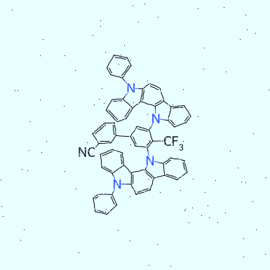 N#Cc1cccc(-c2cc(-n3c4ccccc4c4ccc5c(c6ccccc6n5-c5ccccc5)c43)c(C(F)(F)F)c(-n3c4ccccc4c4ccc5c(c6ccccc6n5-c5ccccc5)c43)c2)c1